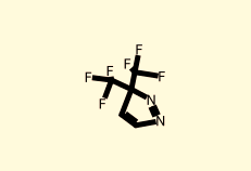 FC(F)(F)C1(C(F)(F)F)C=CN=N1